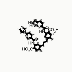 O=C(Nc1cc(CCCc2cc(NC(=O)c3ccc(-n4ccnc4)nn3)c(C(=O)O)cc2F)c(F)cc1C(=O)O)C1=NN2NNN=C2C=C1